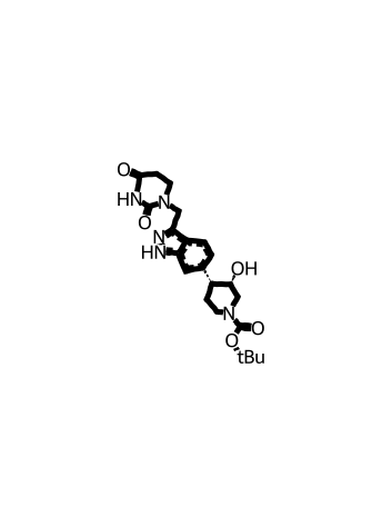 CC(C)(C)OC(=O)N1CC[C@H](c2ccc3c(CN4CCC(=O)NC4=O)n[nH]c3c2)[C@H](O)C1